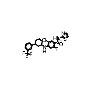 [O-][S+](Nc1nccs1)c1cc(Cl)c(NC2CCCC(c3cccc(C(F)(F)F)c3)C2)cc1F